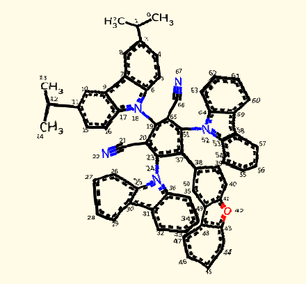 CC(C)c1ccc2c(c1)c1cc(C(C)C)ccc1n2-c1c(C#N)c(-n2c3ccccc3c3ccccc32)c(-c2ccc3oc4ccccc4c3c2)c(-n2c3ccccc3c3ccccc32)c1C#N